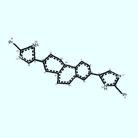 CC(C)c1ncc(-c2ccc3c(ccc4cc(-c5cnc(C(C)C)[nH]5)ccc43)c2)[nH]1